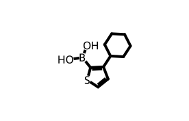 OB(O)c1sccc1C1CCCCC1